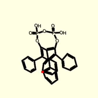 O=P1(O)Oc2c(-c3ccccc3)c(c(-c3ccccc3)c(-c3ccccc3)c2-c2ccccc2)OP(=O)(O)O1